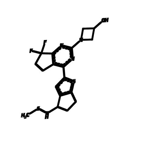 CSNC1CCc2sc(-c3nc(N4CC(O)C4)nc4c3CCC4(F)F)cc21